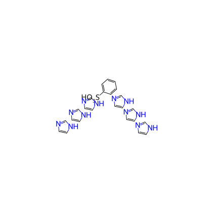 O=S(=O)(O)c1ccccc1.c1c[nH]cn1.c1c[nH]cn1.c1c[nH]cn1.c1c[nH]cn1.c1c[nH]cn1.c1c[nH]cn1